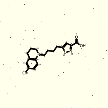 O=C(O)c1cc(CCCCN2CCCc3cc(Cl)ccc32)on1